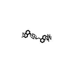 Cc1ccc2c(N3CCN(CCc4cccc5c4ccc4nnc(C)n45)CC3)cccc2n1